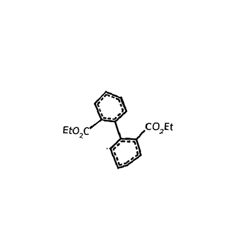 CCOC(=O)c1ccc[c]c1-c1ccccc1C(=O)OCC